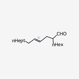 CCCCCCCC/C=C/CC(C=O)CCCCCC